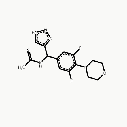 CC(=S)NC(c1cc(F)c(N2CCOCC2)c(F)c1)c1c[nH]nn1